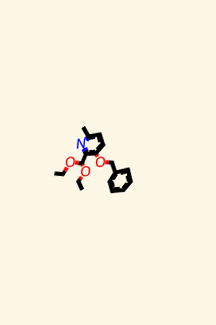 CCOC(OCC)c1nc(C)ccc1OCc1ccccc1